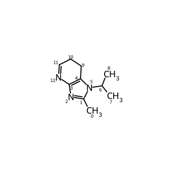 Cc1nc2c(n1C(C)C)CCC=N2